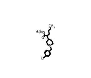 BOC(=O)C(CCCC)C1CCN(Cc2ccc(Cl)cc2)CC1